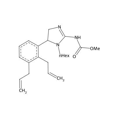 C=CCc1cccc(C2CN=C(NC(=O)OC)N2CCCCCC)c1CC=C